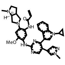 C=CC(=O)Nc1cc(Nc2ncc(-c3cnn(C)c3)c(-c3cn(C4CC4)c4ccccc34)n2)c(OC)cc1N1CC2CCN(C)[C@@H]2C1